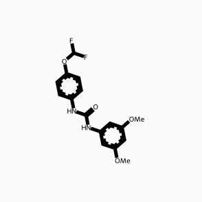 COc1cc(NC(=O)Nc2ccc(OC(F)F)cc2)cc(OC)c1